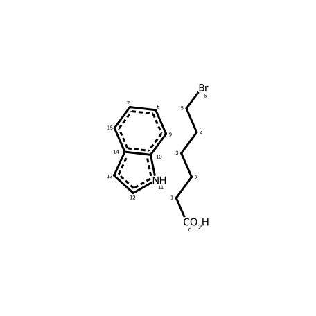 O=C(O)CCCCCBr.c1ccc2[nH]ccc2c1